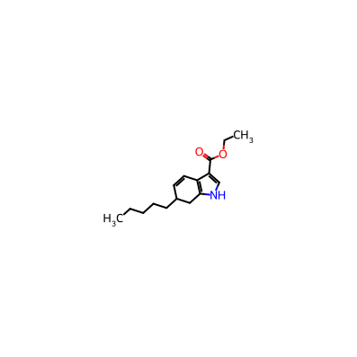 CCCCCC1C=Cc2c(C(=O)OCC)c[nH]c2C1